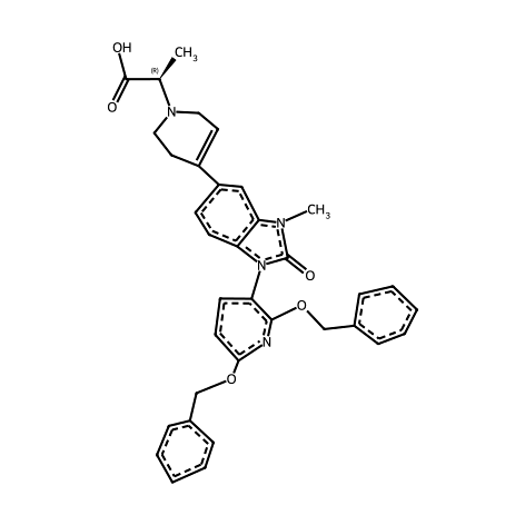 C[C@H](C(=O)O)N1CC=C(c2ccc3c(c2)n(C)c(=O)n3-c2ccc(OCc3ccccc3)nc2OCc2ccccc2)CC1